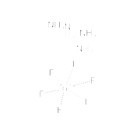 [F][Zn-4]([F])([F])([F])([F])[F].[NH4+].[NH4+].[NH4+].[NH4+]